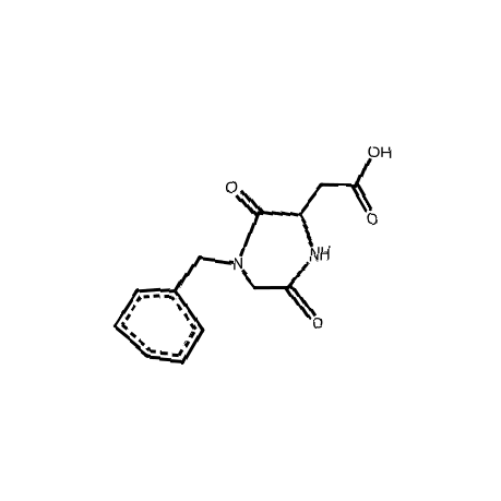 O=C(O)CC1NC(=O)CN(Cc2ccccc2)C1=O